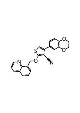 N#Cc1c(-c2ccc3c(c2)OCCO3)csc1OCc1cccc2cccnc12